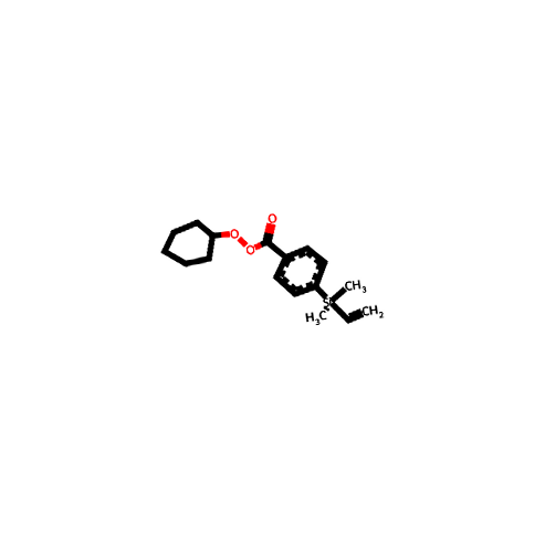 C=C[Si](C)(C)c1ccc(C(=O)OO[C]2CCCCC2)cc1